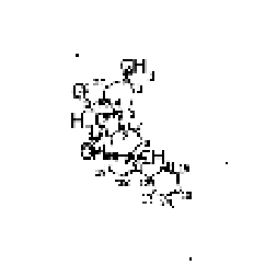 C[C@H]1CC[C@](C)([C@H]2CC[C@]3(C)C(c4ccccc4)=CC[C@H]3C2C=O)[C@@H](C=O)C1